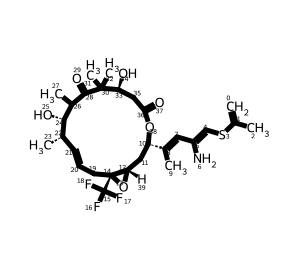 C=C(C)S/C=C(N)/C=C(\C)[C@@H]1C[C@@H]2O[C@]2(C(F)(F)F)C/C=C/[C@H](C)[C@H](O)C(C)C(=O)C(C)(C)[C@@H](O)CC(=O)O1